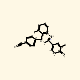 Cc1ccccc1[C@H](C/C(=N\O)c1c[nH]c(=O)c(C)c1)c1ccc(C#N)cc1